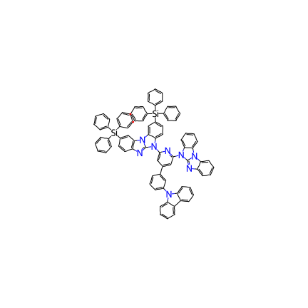 c1ccc([Si](c2ccccc2)(c2ccccc2)c2ccc3nc4n(-c5cc(-c6cccc(-n7c8ccccc8c8ccccc87)c6)cc(-n6c7ccccc7n7c8ccccc8nc67)n5)c5ccc([Si](c6ccccc6)(c6ccccc6)c6ccccc6)cc5n4c3c2)cc1